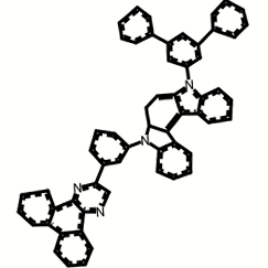 C1=c2c(c3ccccc3n2-c2cc(-c3ccccc3)cc(-c3ccccc3)c2)=C2c3ccccc3N(c3cccc(-c4cnc5c6ccccc6c6ccccc6c5n4)c3)C2C1